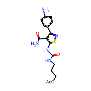 CC(=O)OCCCNC(=O)Nc1snc(-c2ccc(N)cc2)c1C(N)=O